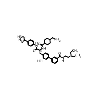 CCN(CC)CCNC(=O)c1cccc(-c2ccc(C[C@H](NC(=O)C3CCC(CN)CC3)C(=O)Nc3ccc(-c4nn[nH]n4)cc3)cc2)c1.Cl